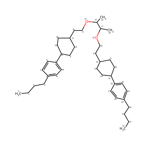 CCCCc1ccc(C2CCC(CCOC(C)C(C)OCCC3CCC(c4ccc(CCCC)cc4)CC3)CC2)cc1